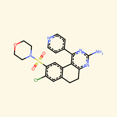 Nc1nc2c(c(-c3ccncc3)n1)-c1cc(S(=O)(=O)N3CCOCC3)c(Cl)cc1CC2